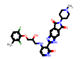 Cc1ccc(F)c(OCC(O)CNc2cc[nH]c(=O)c2-c2nc3cc4c(cc3[nH]2)C(=O)N(C2CCN(C)CC2)C4=O)c1F